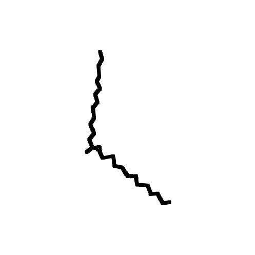 CCCCCCCCCCCCCC(C)OCCCCCCCCCCCC